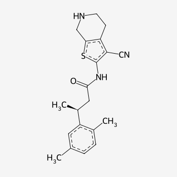 Cc1ccc(C)c([C@@H](C)CC(=O)Nc2sc3c(c2C#N)CCNC3)c1